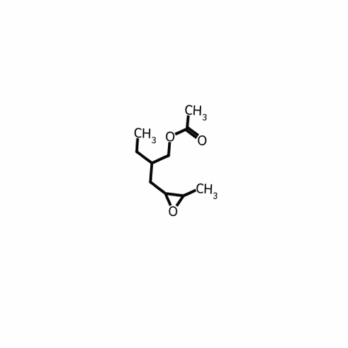 CCC(COC(C)=O)CC1OC1C